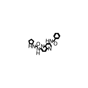 O=C(Nc1ccc2ncc(NC(=O)c3ccccc3)cc2n1)NC1CCCC1